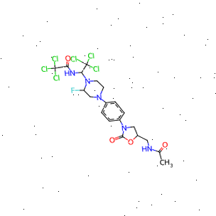 CC(=O)NCC1CN(c2ccc(N3CCN(C(NC(=O)C(Cl)(Cl)Cl)C(Cl)(Cl)Cl)C(F)C3)cc2)C(=O)O1